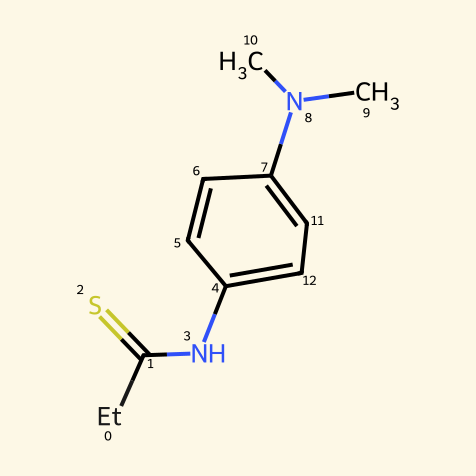 CCC(=S)Nc1ccc(N(C)C)cc1